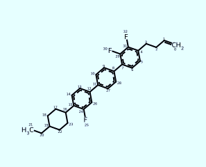 C=CCCc1ccc(-c2ccc(-c3ccc(C4CCC(CC)CC4)c(F)c3)cc2)c(F)c1F